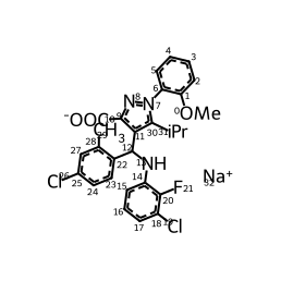 COc1ccccc1-n1nc(C(=O)[O-])c(C(Nc2cccc(Cl)c2F)c2ccc(Cl)cc2C)c1C(C)C.[Na+]